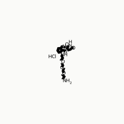 Cl.NCCCOCCOCCOCCCNc1cccc2cnn(C3CCC(=O)NC3=O)c(=O)c12